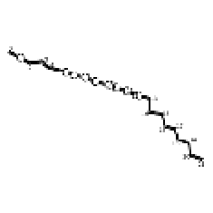 C=C=C=C=C=C=C=C=C=C=C=C=C=CC=CC=CC=CC=C